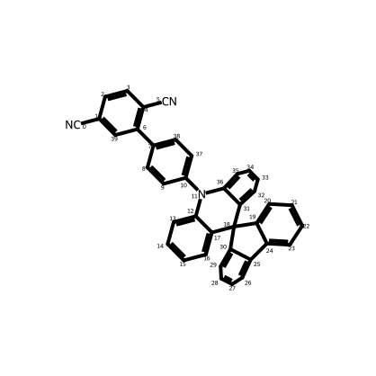 N#Cc1ccc(C#N)c(-c2ccc(N3c4ccccc4C4(c5ccccc5-c5ccccc54)c4ccccc43)cc2)c1